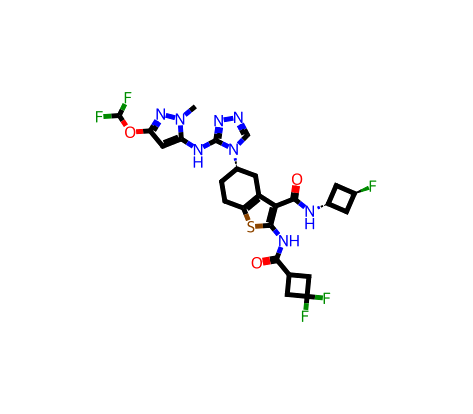 Cn1nc(OC(F)F)cc1Nc1nncn1[C@H]1CCc2sc(NC(=O)C3CC(F)(F)C3)c(C(=O)N[C@H]3C[C@H](F)C3)c2C1